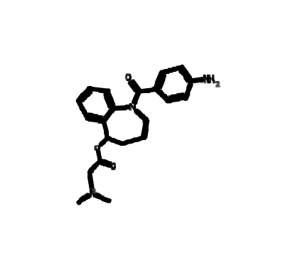 CN(C)CC(=O)OC1CCCN(C(=O)c2ccc(N)cc2)c2ccccc21